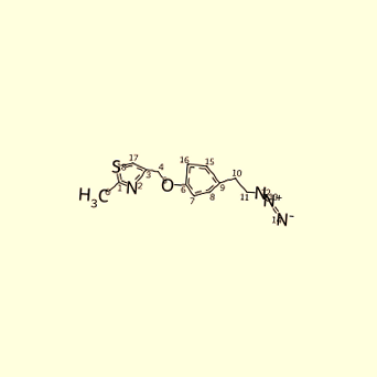 Cc1nc(COc2ccc(CCN=[N+]=[N-])cc2)cs1